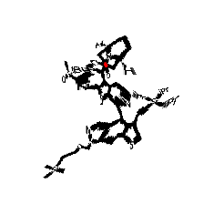 CC(C)[Si](C#Cc1csc2cc3c(cnn3COCC[Si](C)(C)C)c(-c3nccc4c3sc3nc([S+](C)[O-])nc(N5C[C@H]6CC[C@@H](C5)N6C(=O)OC(C)(C)C)c34)c12)(C(C)C)C(C)C